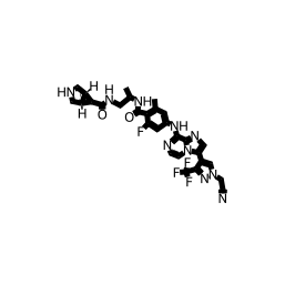 Cc1cc(Nc2nccn3c(-c4cn(CC#N)nc4C(F)(F)F)cnc23)cc(F)c1C(=O)NC(C)CNC(=O)C1[C@H]2CNC[C@@H]12